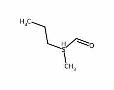 CCC[SH](C)[C]=O